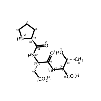 C[C@@H](O)[C@H](NC(=O)[C@H](CC(=O)O)NC(=O)[C@@H]1CCCN1)C(=O)O